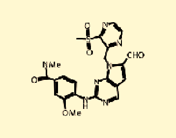 CNC(=O)c1ccc(Nc2ncc3cc(C=O)n(Cc4nccnc4S(C)(=O)=O)c3n2)c(OC)c1